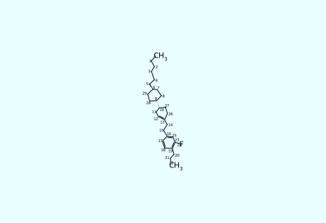 CCCCCC[C@H]1CC[C@H](C2CC=C(CCc3ccc(CCC)c(F)c3)CC2)CC1